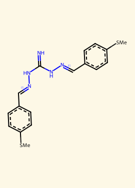 CSc1ccc(/C=N/NC(=N)N/N=C/c2ccc(SC)cc2)cc1